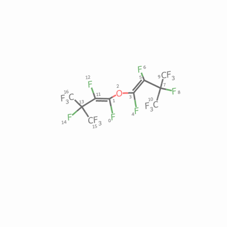 FC(OC(F)=C(F)C(F)(C(F)(F)F)C(F)(F)F)=C(F)C(F)(C(F)(F)F)C(F)(F)F